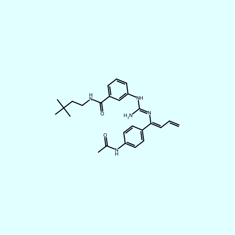 C=C/C=C(\N=C(/N)Nc1cccc(C(=O)NCCC(C)(C)C)c1)c1ccc(NC(C)=O)cc1